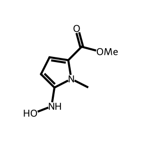 COC(=O)c1ccc(NO)n1C